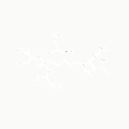 C#CC(F)[C@@H](O)[C@@H](COP(=O)(NC(CC(C)C)C(=O)OCC)NC(CC(C)C)C(=O)OCC)OCn1cnc2c(=O)[nH]c(N)nc21